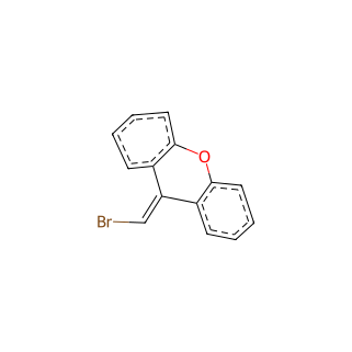 BrC=C1c2ccccc2Oc2ccccc21